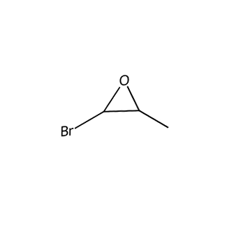 CC1OC1Br